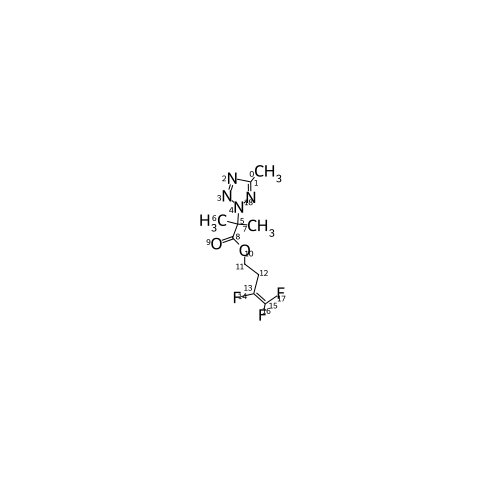 Cc1nnn(C(C)(C)C(=O)OCCC(F)=C(F)F)n1